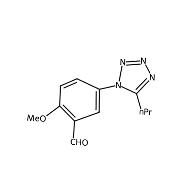 CCCc1nnnn1-c1ccc(OC)c(C=O)c1